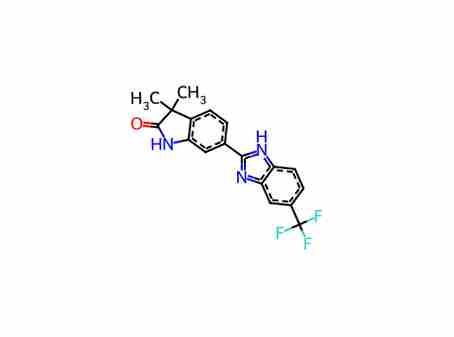 CC1(C)C(=O)Nc2cc(-c3nc4cc(C(F)(F)F)ccc4[nH]3)ccc21